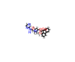 C[N+]1(CC(=O)Nc2cnccn2)CCC(OC(=O)C2(O)c3ccccc3-c3ccccc32)C1